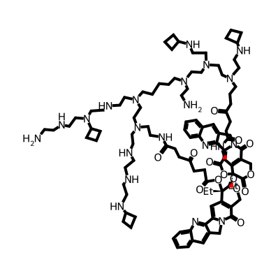 CC[C@@]1(OC(=O)CCC(=O)CCC(=O)NCCN(CCNCCNCCNC2CCC2)CCN(CCCCCN(CCN)CCN(CCNC2CCC2)CCN(CCCC(=O)CCC(=O)NCC(=O)O[C@]2(CC)C(=O)OCc3c2cc2n(c3=O)Cc3cc4ccccc4nc3-2)CCNC2CCC2)CCNCCN(CCNCCN)C2CCC2)C(=O)OCc2c1cc1n(c2=O)Cc2cc3ccccc3nc2-1